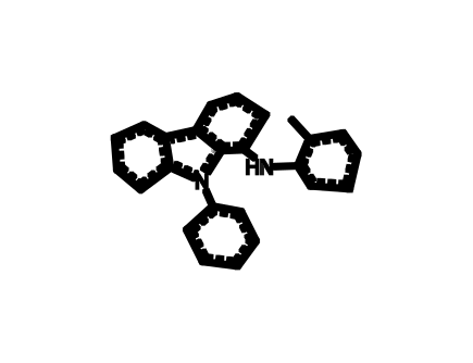 Cc1ccccc1Nc1cccc2c3ccccc3n(-c3ccccc3)c12